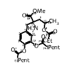 CCCC(C)C(=O)Oc1ccc(C[C@](N)(CC(C)OC(=O)CC)C(=O)OC)cc1OC(=O)C(C)CCC